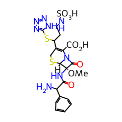 CO[C@@]1(NC(=O)C(N)c2ccccc2)C(=O)N2C(C(=O)O)=C(C(CCNS(=O)(=O)O)Sc3nnn[nH]3)CS[C@H]21